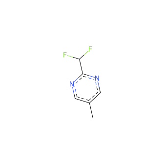 Cc1cnc(C(F)F)nc1